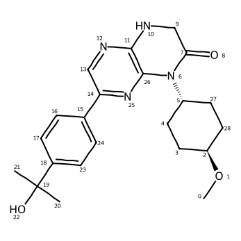 CO[C@H]1CC[C@H](N2C(=O)CNc3ncc(-c4ccc(C(C)(C)O)cc4)nc32)CC1